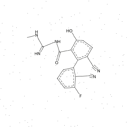 CNC(=N)NC(=O)c1c(O)ccc(C#N)c1-c1cccc(F)c1C#N